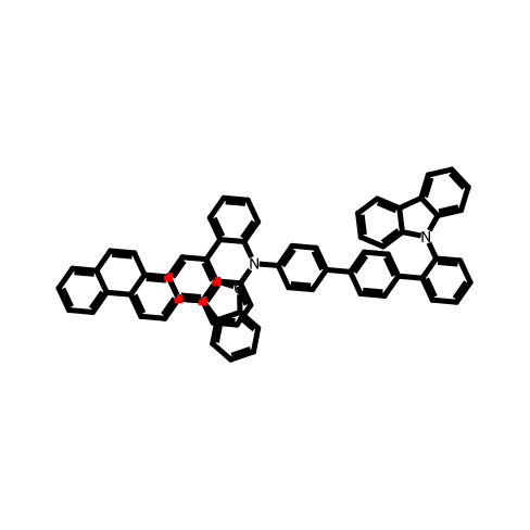 c1cc(-c2ccc3c(ccc4ccccc43)c2)cc(N(c2ccc(-c3ccc(-c4ccccc4-n4c5ccccc5c5ccccc54)cc3)cc2)c2ccccc2-c2cccc3c2oc2ccccc23)c1